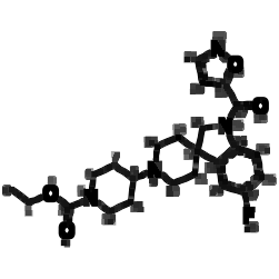 CCOC(=O)N1CCC(N2CCC3(CC2)CN(C(=O)c2ccno2)c2ccc(F)cc23)CC1